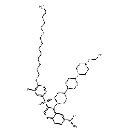 CCCCCCCCCCCCCCOc1ccc(S(=O)(=O)c2cnc3ccc([S@+](C)[O-])cc3c2N2CCC(N3CCC(N4CCN(CCO)CC4)CC3)CC2)cc1F